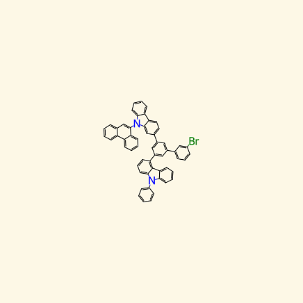 Brc1cccc(-c2cc(-c3ccc4c5ccccc5n(-c5cc6ccccc6c6ccccc56)c4c3)cc(-c3cccc4c3c3ccccc3n4-c3ccccc3)c2)c1